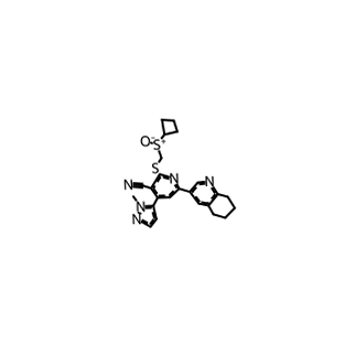 Cn1nccc1-c1cc(-c2cnc3c(c2)CCCC3)nc(SC[S+]([O-])C2CCC2)c1C#N